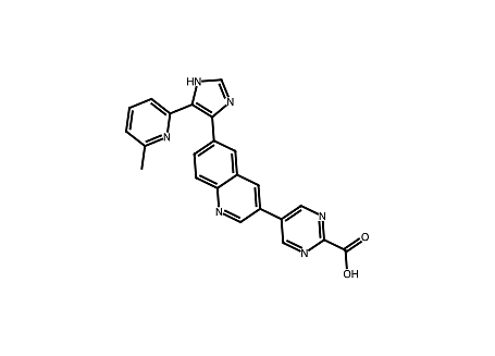 Cc1cccc(-c2[nH]cnc2-c2ccc3ncc(-c4cnc(C(=O)O)nc4)cc3c2)n1